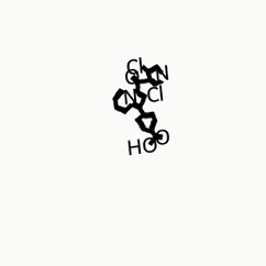 O=C(O)c1ccc(-c2cc(C(=O)c3c(Cl)cncc3Cl)n3ccccc23)cc1